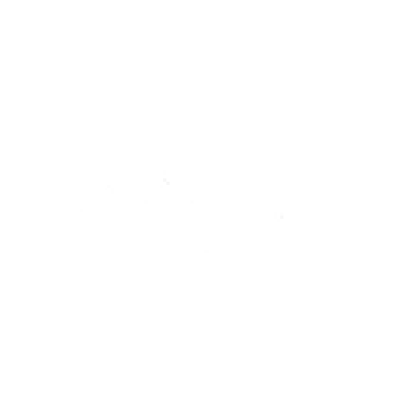 Bc1ccc2cc(C(C)=O)[nH]c2c1